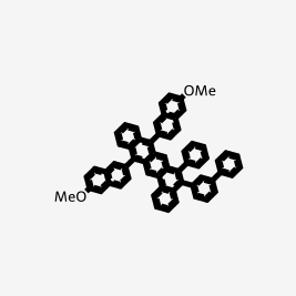 COc1ccc2cc(-c3c4ccccc4c(-c4ccc5cc(OC)ccc5c4)c4cc5c(cc34)c(-c3ccccc3)c(-c3cccc(-c4ccccc4)c3)c3ccccc35)ccc2c1